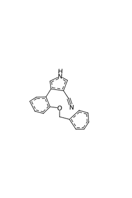 N#Cc1c[nH]cc1-c1ccccc1OCc1ccccc1